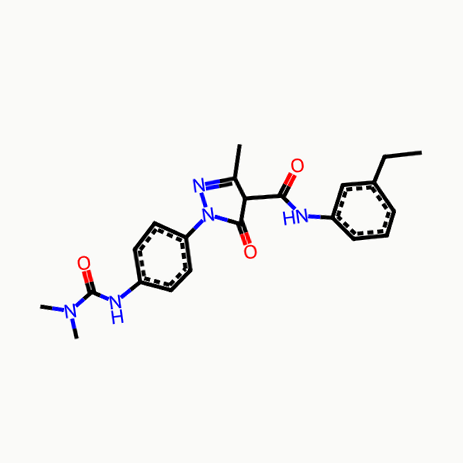 CCc1cccc(NC(=O)C2C(=O)N(c3ccc(NC(=O)N(C)C)cc3)N=C2C)c1